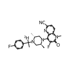 [2H]C(C)(c1ccc(F)cc1)N1C[C@H](C)N(c2c(F)c(=O)n(C)c3ccc(C#N)nc23)C[C@H]1C